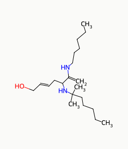 C=C(NCCCCCC)C(C/C=C/CO)NC(C)(C)CCCCC